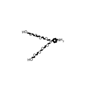 Nc1ccc(N(CCOCCOCCOCCOCCO)CCOCCOCCOCCOCCO)cc1